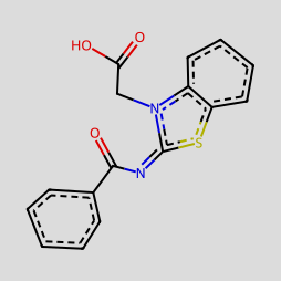 O=C(O)Cn1c(=NC(=O)c2ccccc2)sc2ccccc21